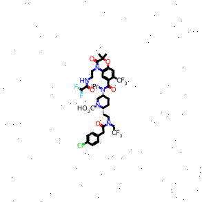 CC(C)N(C(=O)c1cc2c(cc1C(F)(F)F)OC(C)(C)C(=O)N2CCNC(=O)C(F)F)[C@@H]1CC[C@H](CCN(CC(F)(F)F)C(=O)Cc2ccc(Cl)cc2)N(C(=O)O)C1